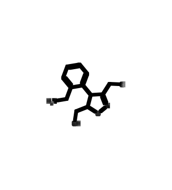 NCc1ccccc1C1C(CCl)=NOC1CO